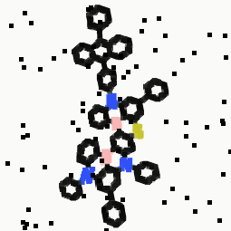 c1ccc(-c2cc3c4c(c2)N(c2ccc(-c5c6ccccc6c(-c6ccccc6)c6ccccc56)cc2)c2ccccc2B4c2cc4c(cc2S3)N(c2ccccc2)c2cc(-c3ccccc3)cc3c2B4c2ccccc2N3c2ccccc2)cc1